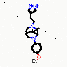 CCOc1ccc(N2CC3CN(CCc4cn[nH]c4)CC2C(C)(C)C3)cc1